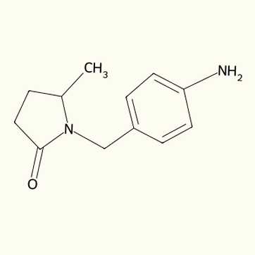 CC1CCC(=O)N1Cc1ccc(N)cc1